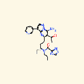 CCCN(C(=O)c1nnc[nH]1)[C@H](CC)CCc1nc2c(-c3cccnc3)cnn2c(N)c1C(C)=O